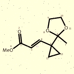 COC(=O)/C=C/C1(C2(C)OCCO2)CC1